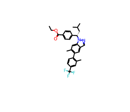 CCOC(=O)c1ccc([C@H](CC(C)C)n2ncc3cc(-c4ccc(C(F)(F)F)cc4C)c(C)cc32)cc1